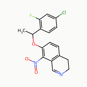 CC(Oc1ccc2c(c1[N+](=O)[O-])C=NCC2)c1ccc(Cl)cc1F